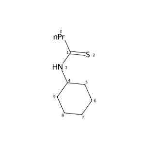 CCCC(=S)NC1CCCCC1